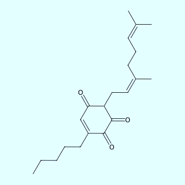 CCCCCC1=CC(=O)C(CC=C(C)CCC=C(C)C)C(=O)C1=O